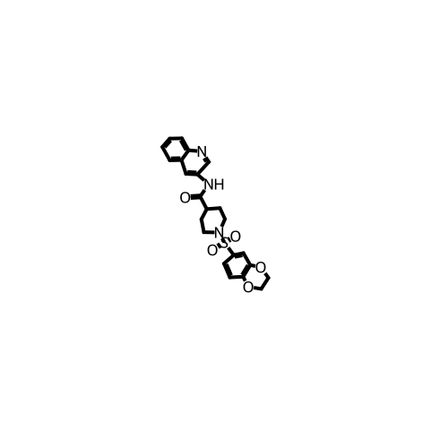 O=C(Nc1cnc2ccccc2c1)C1CCN(S(=O)(=O)c2ccc3c(c2)OCCO3)CC1